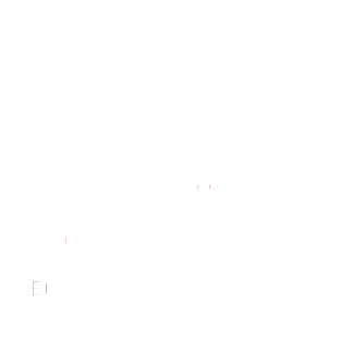 CCOCCOc1[c]cccc1